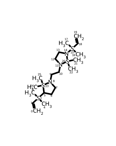 C=CS(C)(C)C1CCN(CCN2CCN(S(C)(C)C=C)S2(C)C)S1(C)C